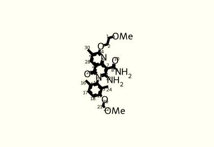 COCCOc1nc2c(C(N)=O)c(N)n(-c3c(C)ccc(OCOC)c3C)c(=O)c2cc1C